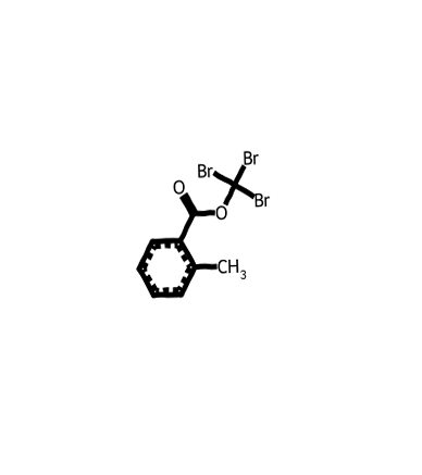 Cc1ccccc1C(=O)OC(Br)(Br)Br